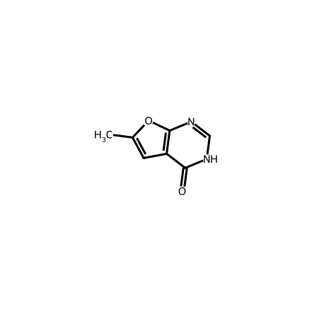 Cc1cc2c(=O)[nH]cnc2o1